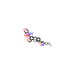 Cc1cc(-c2ccc(Cc3cc(C(=O)N[C@H]4CCOC[C@@H]4O)c4c(c3C)CCO4)cc2)on1